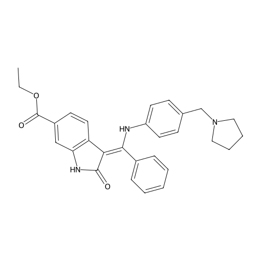 CCOC(=O)c1ccc2c(c1)NC(=O)C2=C(Nc1ccc(CN2CCCC2)cc1)c1ccccc1